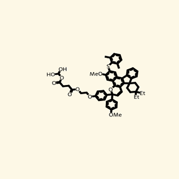 CCC1(CC)CCC2(CC1)c1ccccc1-c1c2c2c(c3cc(OC)c(Sc4c(C)cccc4C)cc13)OC(c1ccc(OC)cc1)(c1ccc(OCCOC(=O)CCC(=O)OC(O)O)cc1)C=C2